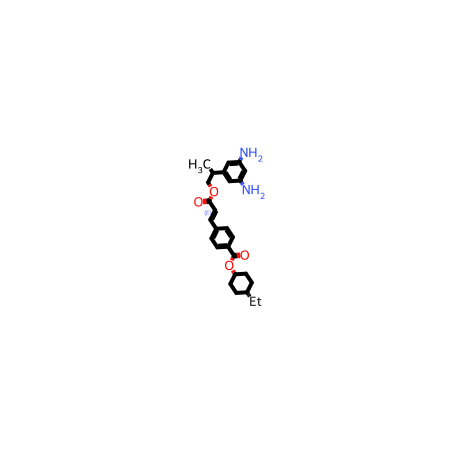 CCC1CCC(OC(=O)c2ccc(/C=C/C(=O)OCC(C)c3cc(N)cc(N)c3)cc2)CC1